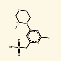 CCS(=O)(=O)Cc1cc(N2CCOC[C@H]2C)nc(Cl)n1